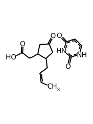 C/C=C\CC1CC(=O)CC1CC(=O)O.O=c1cc[nH]c(=O)[nH]1